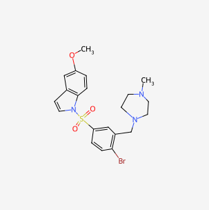 COc1ccc2c(ccn2S(=O)(=O)c2ccc(Br)c(CN3CCN(C)CC3)c2)c1